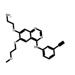 C#Cc1cccc(Nc2ncnc3cc(OCCN)c(OCCOC)cc23)c1